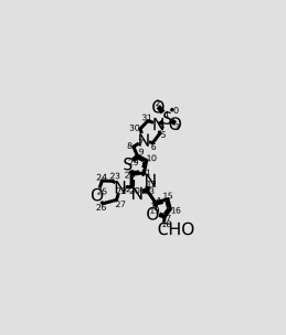 CS(=O)(=O)N1CCN(Cc2cc3nc(-c4ccc(C=O)o4)nc(N4CCOCC4)c3s2)CC1